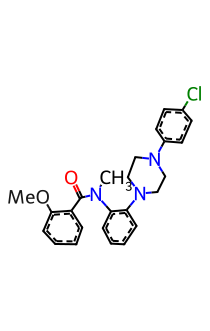 COc1ccccc1C(=O)N(C)c1ccccc1N1CCN(c2ccc(Cl)cc2)CC1